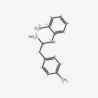 Cc1ccc(CC(Nc2ccccc2[N+](=O)[O-])C(=O)O)cc1